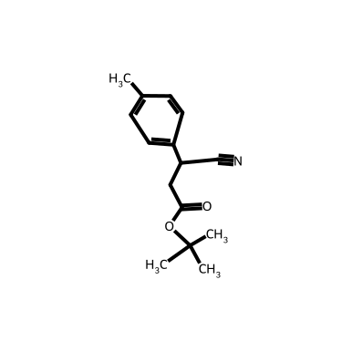 Cc1ccc(C(C#N)CC(=O)OC(C)(C)C)cc1